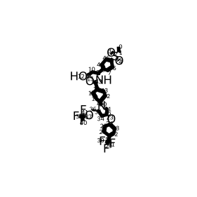 CCS(=O)(=O)c1ccc(C(CCO)NC(=O)c2ccc(N3C[C@@H](Oc4ccc(C(F)(F)F)cc4)C[C@H]3COC(F)(F)F)cc2)cc1